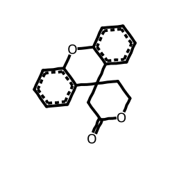 O=C1CC2(CCO1)c1ccccc1Oc1ccccc12